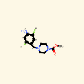 CC(C)(C)OC(=O)N1CCN(Cc2cc(F)c(N)cc2F)CC1